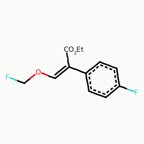 CCOC(=O)C(=COCF)c1ccc(F)cc1